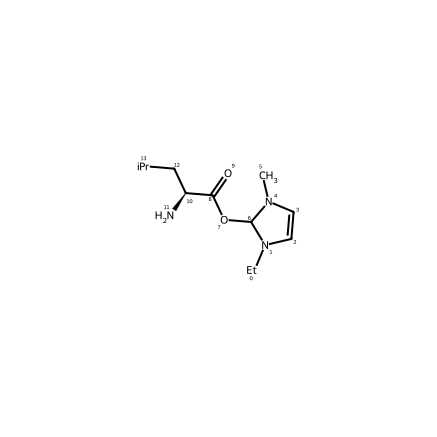 CCN1C=CN(C)C1OC(=O)[C@@H](N)CC(C)C